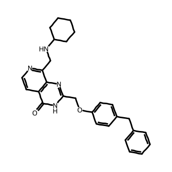 O=c1[nH]c(COc2ccc(Cc3ccccc3)cc2)nc2c(CNC3CCCCC3)nccc12